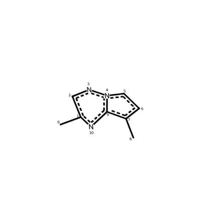 Cc1cnn2ccc(C)c2n1